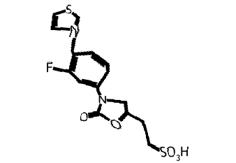 O=C1OC(CCS(=O)(=O)O)CN1c1ccc(N2C=CSC2)c(F)c1